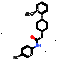 COc1ccccc1[C@H]1CC[C@H](CC(=O)Nc2ccc(C#N)cc2)CC1